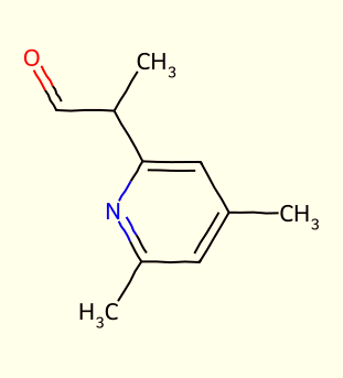 Cc1cc(C)nc(C(C)C=O)c1